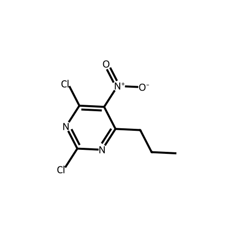 CCCc1nc(Cl)nc(Cl)c1[N+](=O)[O-]